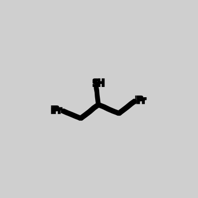 CC(C)CC(S)CC(C)C